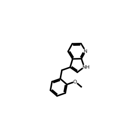 COc1ccccc1Cc1c[nH]c2ncccc12